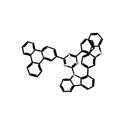 c1ccc(-c2nc(-c3ccc4c5ccccc5c5ccccc5c4c3)nc(-n3c4ccccc4c4cccc(-c5ccc6c(c5)sc5ccccc56)c43)n2)cc1